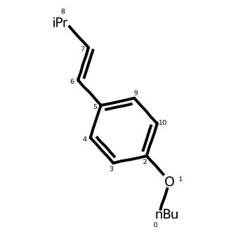 CCCCOc1ccc(/C=C/C(C)C)cc1